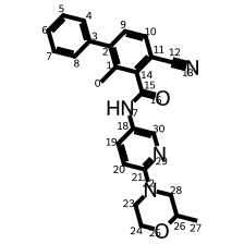 Cc1c(-c2ccccc2)ccc(C#N)c1C(=O)Nc1ccc(N2CCOC(C)C2)nc1